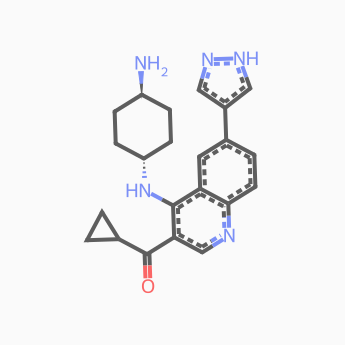 N[C@H]1CC[C@H](Nc2c(C(=O)C3CC3)cnc3ccc(-c4cn[nH]c4)cc23)CC1